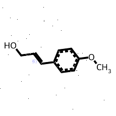 COc1[c]cc(/C=C/CO)cc1